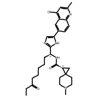 CCC(=O)CCCCC[C@H](NC(=O)[C@H]1CC12CCN(C)CC2)c1ncc(-c2ccc3nc(C)cc(Cl)c3c2)[nH]1